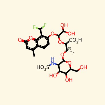 Cc1cc(=O)oc2c(C(F)F)c(OC(OC(C(=O)O)[C@H](C)OC3OC(CO)C(O)C(O)C3NS(=O)(=O)O)C(O)O)ccc12